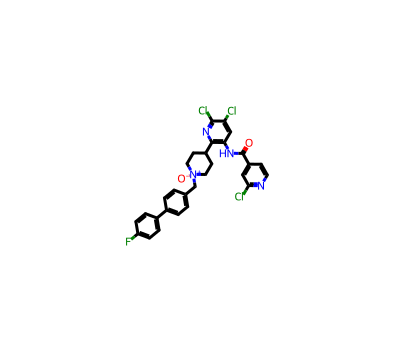 O=C(Nc1cc(Cl)c(Cl)nc1C1CC[N+]([O-])(Cc2ccc(-c3ccc(F)cc3)cc2)CC1)c1ccnc(Cl)c1